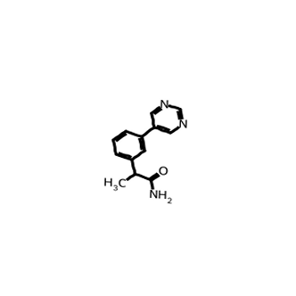 CC(C(N)=O)c1cccc(-c2cncnc2)c1